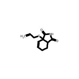 C=CCSC12C=CCCC1C(=O)NC2=O